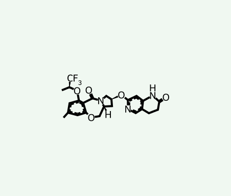 Cc1cc2c(c(O[C@@H](C)C(F)(F)F)c1)C(=O)N1C[C@@H](Oc3cc4c(cn3)CCC(=O)N4)C[C@@H]1CO2